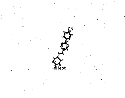 CCCCCCC[C@H]1CC[C@H](CCc2cnc(-c3ccc(C#N)cc3)cn2)CC1